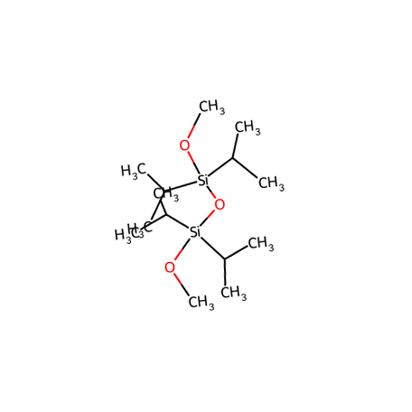 CO[Si](O[Si](OC)(C(C)C)C(C)C)(C(C)C)C(C)C